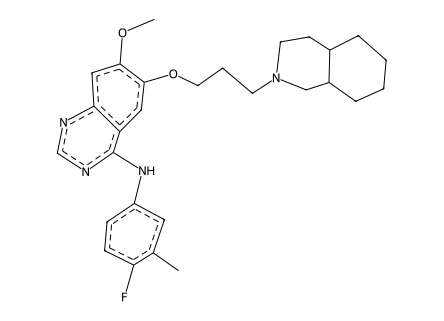 COc1cc2ncnc(Nc3ccc(F)c(C)c3)c2cc1OCCCN1CCC2CCCCC2C1